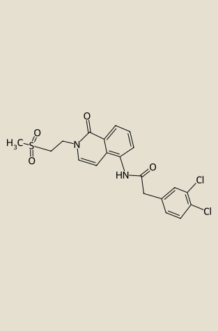 CS(=O)(=O)CCn1ccc2c(NC(=O)Cc3ccc(Cl)c(Cl)c3)cccc2c1=O